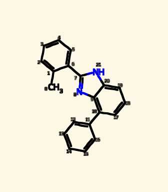 Cc1ccccc1-c1nc2c(-c3ccccc3)cccc2[nH]1